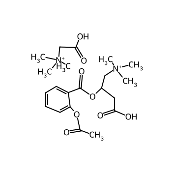 CC(=O)Oc1ccccc1C(=O)OC(CC(=O)O)C[N+](C)(C)C.C[N+](C)(C)CC(=O)O